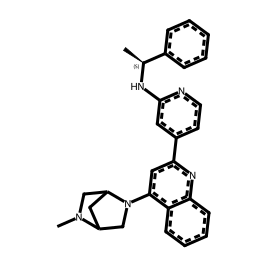 C[C@H](Nc1cc(-c2cc(N3CC4CC3CN4C)c3ccccc3n2)ccn1)c1ccccc1